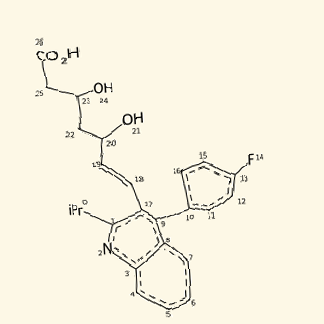 CC(C)c1nc2ccccc2c(-c2ccc(F)cc2)c1/C=C/C(O)CC(O)CC(=O)O